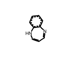 [C]1=CC=Nc2ccccc2N1